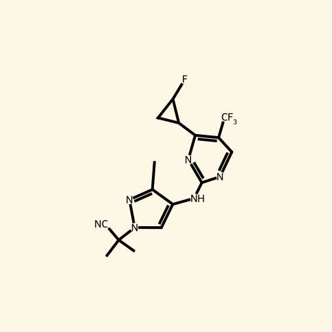 Cc1nn(C(C)(C)C#N)cc1Nc1ncc(C(F)(F)F)c(C2CC2F)n1